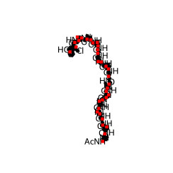 CC(=O)Nc1cn(C)c(C(=O)Nc2cc(C(=O)NCCC(=O)Nc3cn(C)c(C(=O)Nc4cn(C)c(C(=O)Nc5cc(C(=O)Nc6cn(C)c(C(=O)NCCCC(=O)Nc7cc(C(=O)Nc8cn(C)c(C(=O)NCCC(=O)Nc9cc(C(=O)Nc%10cc(C(=O)Nc%11ccc%12[nH]c(C(=O)N%13CC(CCl)c%14c%13cc(O)c%13ccccc%14%13)cc%12c%11)n(C)c%10)n(C)c9)n8)n(C)c7)n6)n(C)c5)n4)n3)n(C)c2)n1